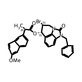 COc1ccc2cc([C@@H](C)C(=O)O[C@H]3c4cccc5c4n(c(=O)n5Cc4ccccc4)C[C@@H]3Br)ccc2c1